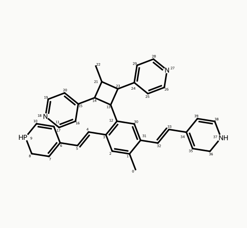 Cc1cc(/C=C/C2=CCPC=C2)c(C2C(c3ccncc3)C(C)C2c2ccncc2)cc1/C=C/C1=CCNC=C1